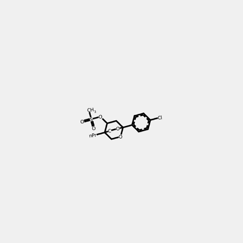 CCCC12COC(c3ccc(Cl)cc3)(CC1OS(C)(=O)=O)OC2